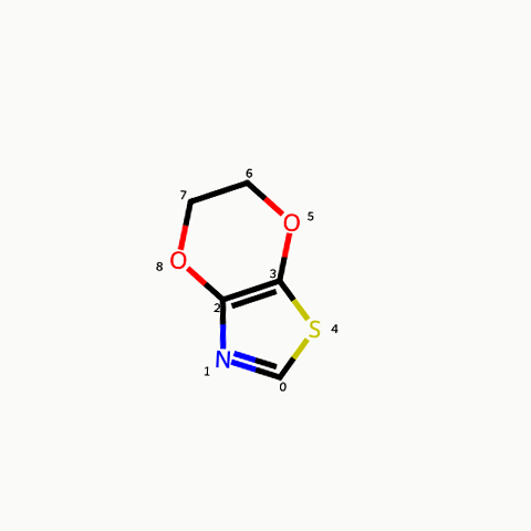 c1nc2c(s1)OCCO2